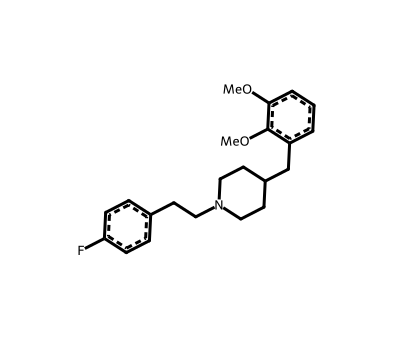 COc1cccc(CC2CCN(CCc3ccc(F)cc3)CC2)c1OC